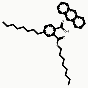 CCCCCCCCOC(=O)c1cc(CCCCCCCC)ccc1C(=O)O.c1ccc2cc3ccccc3cc2c1